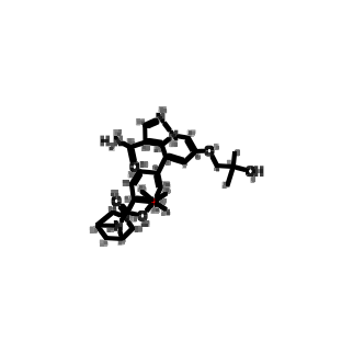 CC(C)(O)COc1cc(-c2ccc(N3CC4CC(C3)N4C(=O)OC(C)(C)C)nc2)c2c(C(N)=O)cnn2c1